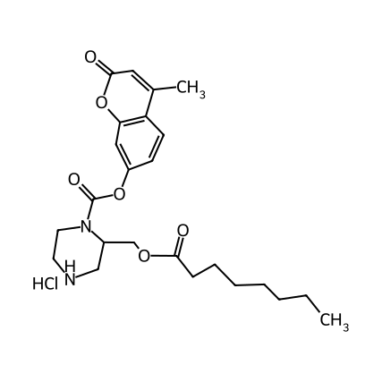 CCCCCCCC(=O)OCC1CNCCN1C(=O)Oc1ccc2c(C)cc(=O)oc2c1.Cl